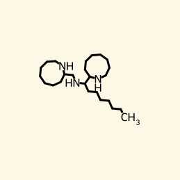 CCCCCCCC(NCC1CCCCCCCN1)C1CCCCCCCN1